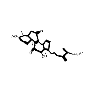 C=C(CCCC1CCC2C3=C(C(=O)[C@H](O)[C@]12C)[C@@]1(C)CC[C@H](O)[C@@H](C)C1CC3=O)C(C)C(=O)O